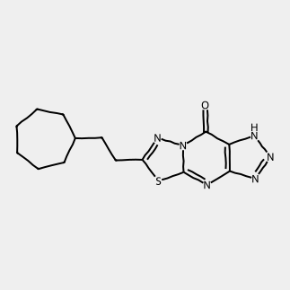 O=c1c2[nH]nnc2nc2sc(CCC3CCCCCC3)nn12